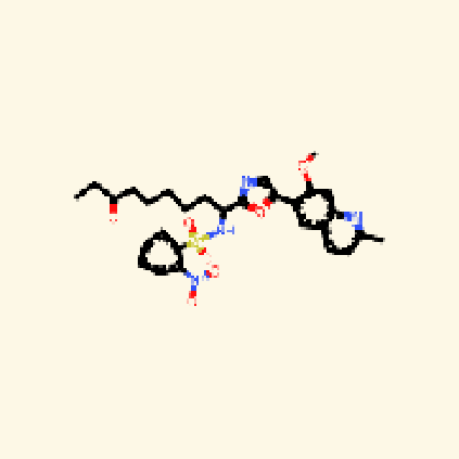 CCC(=O)CCCCCC(NS(=O)(=O)c1ccccc1[N+](=O)[O-])c1ncc(-c2cc3ccc(C)nc3cc2OC)o1